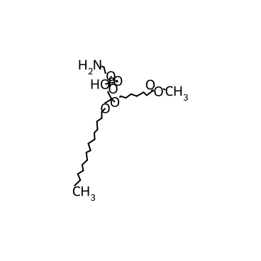 CCCCCCCCCCCCCCCCOCC(COP(=O)(O)OCCN)OCCCCCCC(=O)OCC